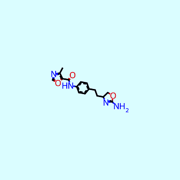 Cc1ncoc1C(=O)Nc1ccc(CCC2COC(N)=N2)cc1